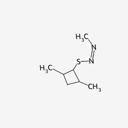 C/N=N\SC1C(C)CC1C